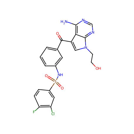 Nc1ncnc2c1c(C(=O)c1cccc(NS(=O)(=O)c3ccc(F)c(Cl)c3)c1)cn2CCO